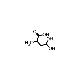 CC(CC(O)O)C(=O)O